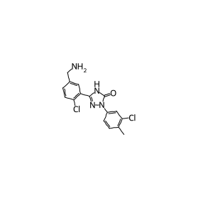 Cc1ccc(-n2nc(-c3cc(CN)ccc3Cl)[nH]c2=O)cc1Cl